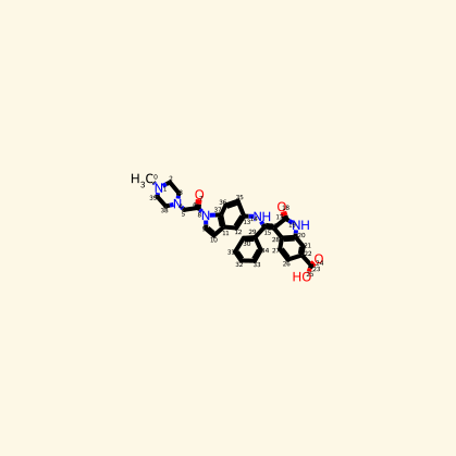 CN1CCN(CC(=O)n2ccc3cc(N/C(=C4\C(=O)Nc5cc(C(=O)O)ccc54)c4ccccc4)ccc32)CC1